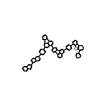 C1=CC(C2=CCCc3c2oc2c(-c4ccc(-c5cc6c7c(cccc7c5)-c5ccc(-c7ccc8c9c(cc(-c%10ccc(-c%11ccc%12cc(-c%13ccc%14ccccc%14c%13)ccc%12c%11)cc%10)cc79)-c7ccccc7-8)cc5-6)cc4)cccc32)=CCC1